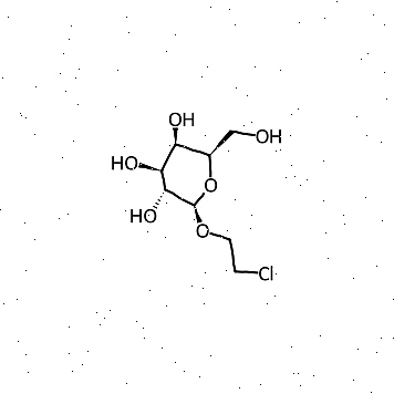 OC[C@H]1O[C@@H](OCCCl)[C@H](O)[C@@H](O)[C@H]1O